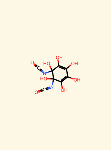 O=C=NC1(O)C(O)=C(O)C(O)=C(O)C1(O)N=C=O